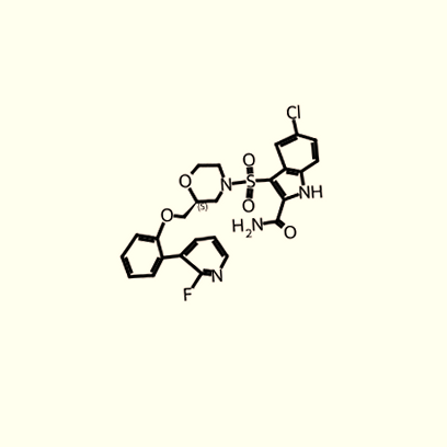 NC(=O)c1[nH]c2ccc(Cl)cc2c1S(=O)(=O)N1CCO[C@H](COc2ccccc2-c2cccnc2F)C1